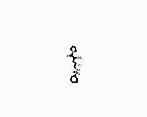 Cl.NC(CCCNS(=O)(=O)C1CCCCC1)C(=O)N1CCCC1